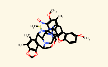 COc1ccc2oc3c(c2c1)CCN[C@]31CN(SC)C2c3c(C)c(C)c4c(c3C(COC1=O)N1CC3Cc5cc(C)c(OC)c(N=O)c5C(C21)N3C)OCO4